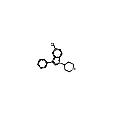 Clc1ccc2c(c1)c(-c1ccccc1)cn2C1CCNCC1